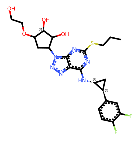 CCCSc1nc(N[C@@H]2C[C@H]2c2ccc(F)c(F)c2)c2nnn(C3CC(OCCO)[C@@H](O)C3O)c2n1